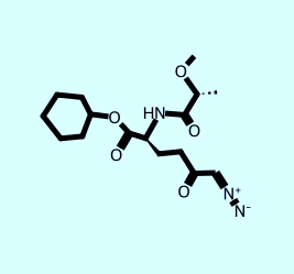 CO[C@H](C)C(=O)N[C@@H](CCC(=O)C=[N+]=[N-])C(=O)OC1CCCCC1